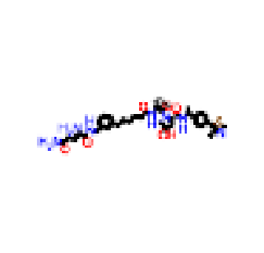 Cc1ncsc1-c1ccc([C@H](C)NC(=O)[C@@H]2C[C@@H](O)CN2C(=O)[C@@H](NC(=O)CCCCCc2cccc(CNC(=O)[C@@H](N)CCC(N)=O)c2)C(C)(C)C)cc1